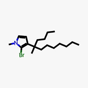 CCCCCCCC(C)(CCCC)c1ccn(C)c1Br